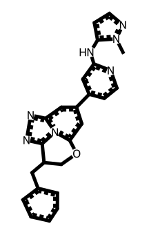 Cn1nccc1Nc1cc(-c2cc3n4c(nnc4c2)C(Cc2ccccc2)CO3)ccn1